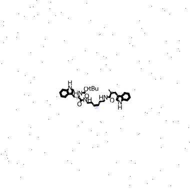 C[C@@H](Cc1c[nH]c2ccccc12)C(=O)NCC/C=C\CCNC(=O)[C@H](Cc1c[nH]c2ccccc12)NC(=O)OC(C)(C)C